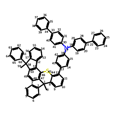 CC1(c2ccccc2)c2cccc(-c3ccc(N(c4ccc(-c5ccccc5)cc4)c4ccc(-c5ccccc5)cc4)cc3)c2Sc2c1ccc1c2-c2ccccc2C1(C)c1ccccc1